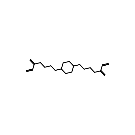 C=CC(=C)CCCCC1CCC(CCCCC(=C)C=C)CC1